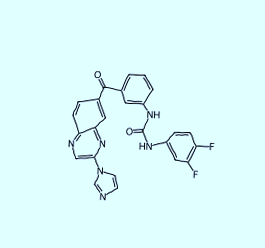 O=C(Nc1cccc(C(=O)c2ccc3ncc(-n4ccnc4)nc3c2)c1)Nc1ccc(F)c(F)c1